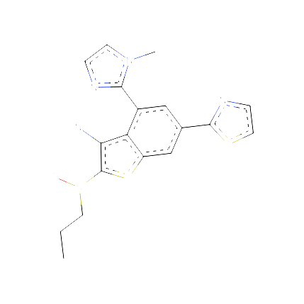 CCC[S+]([O-])c1sc2cc(-c3nccs3)cc(-c3nccn3C)c2c1N